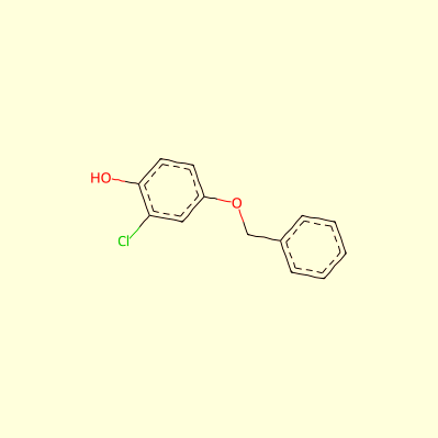 Oc1ccc(OCc2ccccc2)cc1Cl